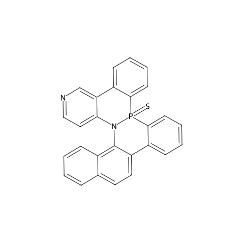 S=P12c3ccccc3-c3cnccc3N1c1c(ccc3ccccc13)-c1ccccc12